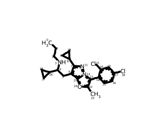 CCCNC(Cc1c(C2CC2)nn2c(-c3ccc(Cl)cc3Cl)c(C)oc12)C1CC1